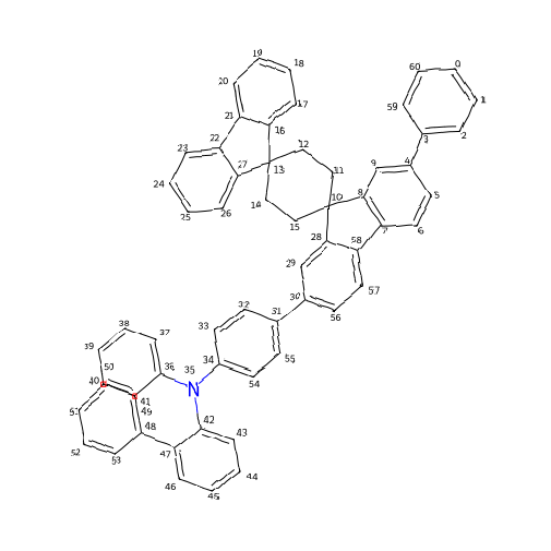 c1ccc(-c2ccc3c(c2)C2(CCC4(CC2)c2ccccc2-c2ccccc24)c2cc(-c4ccc(N(c5ccccc5)c5ccccc5-c5ccccc5)cc4)ccc2-3)cc1